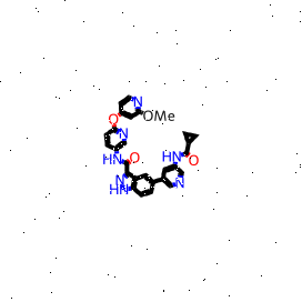 COc1cc(Oc2ccc(NC(=O)c3n[nH]c4ccc(-c5cncc(NC(=O)C6CC6)c5)cc34)cn2)ccn1